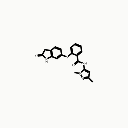 Cc1cc(NC(=O)c2ccccc2Sc2ccc3c(c2)NC(=O)C3)n(C)n1